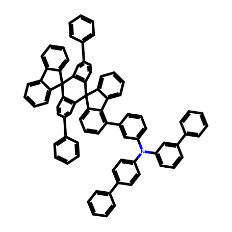 c1ccc(-c2ccc(N(c3cccc(-c4ccccc4)c3)c3cccc(-c4cccc5c4-c4ccccc4C54c5ccc(-c6ccccc6)cc5C5(c6ccccc6-c6ccccc65)c5ccc(-c6ccccc6)cc54)c3)cc2)cc1